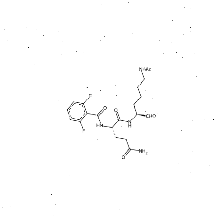 CC(=O)NCCCC[C@@H](C=O)NC(=O)[C@H](CCC(N)=O)NC(=O)c1c(F)cccc1F